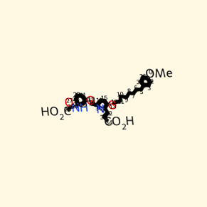 COc1ccc(CCCCCCCCOc2ccc(COc3cccc(NC(=O)C(=O)O)c3)nc2C=CC(=O)O)cc1